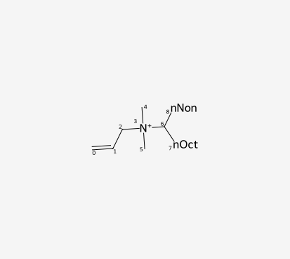 C=CC[N+](C)(C)C(CCCCCCCC)CCCCCCCCC